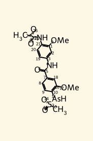 COc1cc(NC(=O)c2ccc([AsH]S(C)(=O)=O)c(OC)c2)ccc1NS(C)(=O)=O